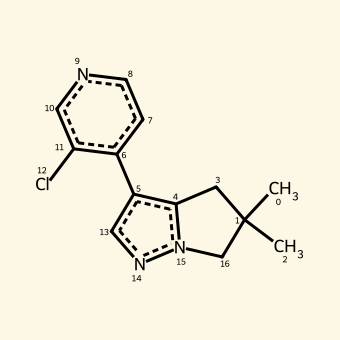 CC1(C)Cc2c(-c3ccncc3Cl)cnn2C1